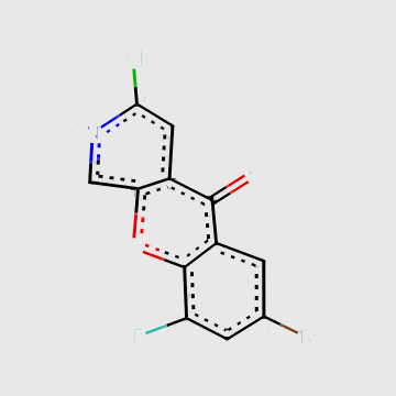 O=c1c2cc(Cl)ncc2oc2c(F)cc(Br)cc12